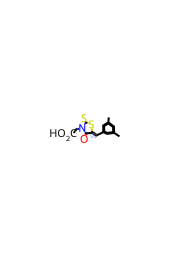 Cc1cc(C)cc(/C=C2\SC(=S)N(CC(=O)O)C2=O)c1